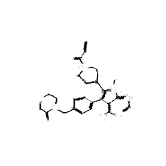 C=CC(=O)N1CCC(c2c(-c3ccc(CN4CCOCC4=O)cc3)c3c(N)ncnc3n2C)C1